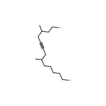 [CH2]CCCCCC(C)CC#CCC(C)CC[CH2]